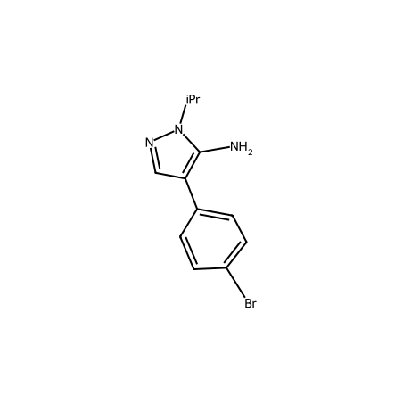 CC(C)n1ncc(-c2ccc(Br)cc2)c1N